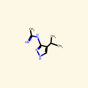 CC(=N)Nc1n[nH]cc1C(C)C